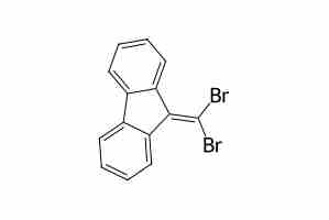 BrC(Br)=C1c2ccccc2-c2ccccc21